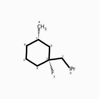 CC(C)C[C@@]1(F)CCC[C@H](C)C1